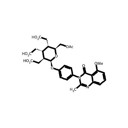 COc1cccc2nc(C)n(-c3ccc(O[C@@H]4O[C@H](COC(C)=O)[C@@H](CC(=O)O)[C@@H](CC(=O)O)[C@@H]4CC(=O)O)cc3)c(=O)c12